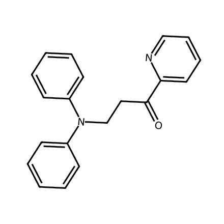 O=C(CCN(c1ccccc1)c1ccccc1)c1ccccn1